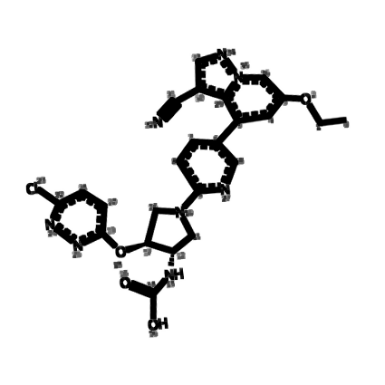 CCOc1cc(-c2ccc(N3C[C@H](NC(=O)O)[C@@H](Oc4ccc(Cl)nn4)C3)nc2)c2c(C#N)cnn2c1